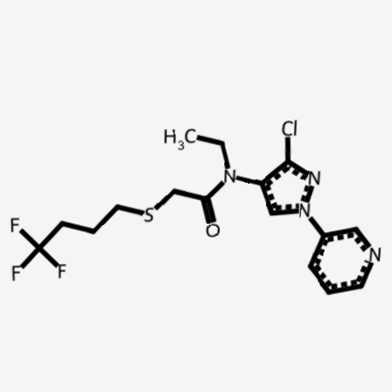 CCN(C(=O)CSCCCC(F)(F)F)c1cn(-c2cccnc2)nc1Cl